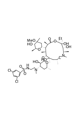 CC[C@H]1OC(=O)[C@H](C)C([C@H]2C[C@@](C)(OC)[C@@H](O)[C@H](C)O2)[C@H](C)[C@@H](O[C@@H]2O[C@H](C)C[C@H](N(C)CCNS(=O)(=O)c3cc(Cl)cc(Cl)c3)[C@H]2O)[C@](C)(O)C[C@@H](C)CN(C)[C@H](C)[C@@H](O)[C@]1(C)O